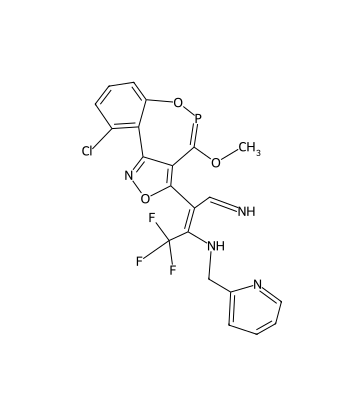 COC1=POc2cccc(Cl)c2-c2noc(/C(C=N)=C(/NCc3ccccn3)C(F)(F)F)c21